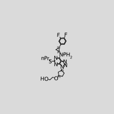 CCCSc1nc(N(P)[C@@H]2C[C@H]2c2ccc(F)c(F)c2)c2nnn([C@H]3CC[C@@H](OCCO)C3)c2n1